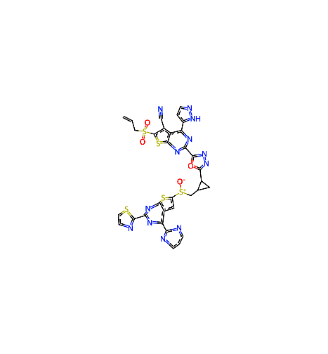 C=CCS(=O)(=O)c1sc2nc(-c3nnc(C4CC4C[S+]([O-])c4cc5c(-c6ncccn6)nc(-c6nccs6)nc5s4)o3)nc(-c3ccn[nH]3)c2c1C#N